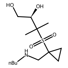 CCCCNCC1(S(=O)(=O)C(C)(C)[C@H](O)CO)CC1